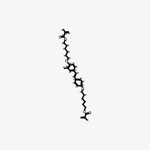 C=C(C)C(=O)OCCCCCCOc1ccc(/C=C/c2ccc(OCCCCCCOC(=O)C(=C)C)c(C)c2)cc1